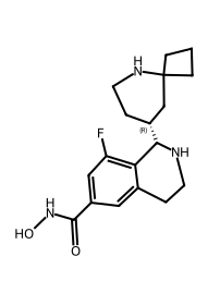 O=C(NO)c1cc(F)c2c(c1)CCNC2[C@@H]1CCNC2(CCC2)C1